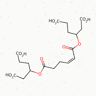 O=C(O)CCC(CC(=O)O)OC(=O)/C=C\CCC(=O)OC(CCC(=O)O)CC(=O)O